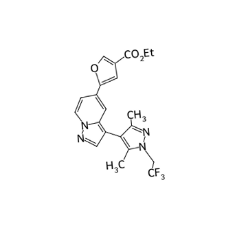 CCOC(=O)c1coc(-c2ccn3ncc(-c4c(C)nn(CC(F)(F)F)c4C)c3c2)c1